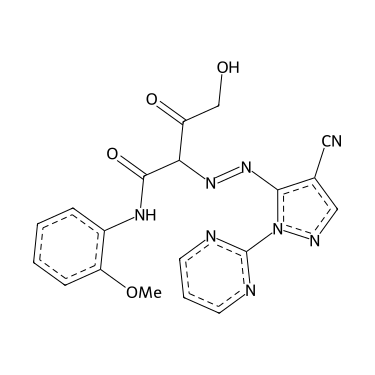 COc1ccccc1NC(=O)C(N=Nc1c(C#N)cnn1-c1ncccn1)C(=O)CO